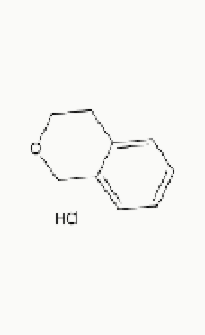 Cl.c1ccc2c(c1)CCOC2